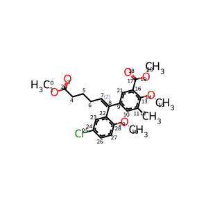 COC(=O)CCC/C=C(/c1cc(C)c(OC)c(C(=O)OC)c1)c1cc(Cl)ccc1OC